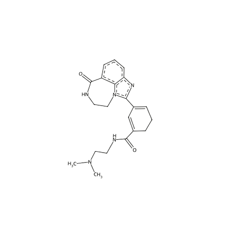 CN(C)CCNC(=O)C1=CC(c2nc3cccc4c3n2CCNC4=O)=CCC1